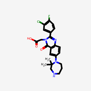 CC1(C)CNCCCN1c1ccc2nc(-c3ccc(F)c(Cl)c3)n(CC(=O)O)c(=O)c2c1